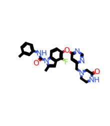 Cc1cccc(NC(=O)n2c(C)cc3c(F)c(Oc4cc(CN5CCNC(=O)C5)ncn4)ccc32)c1